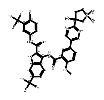 COc1ccc(-c2cnc(C3(O)CCS(O)(O)C3)nc2)cc1C(=O)Nc1c(C(=O)Nc2ccc(F)c(C(F)(F)F)c2)sc2cc(C(F)(F)F)ccc12